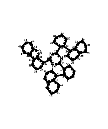 c1ccc(-c2cccc3ccccc23)c(-c2nc(-c3ccccc3-c3cccc4ccccc34)nc(-c3cccc4c3oc3ccccc34)n2)c1